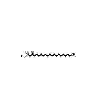 CCCCCCCCCCCCCCCCCCC(O)CN(C)C